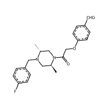 C[C@@H]1CN(C(=O)COc2ccc(C=O)cc2)[C@@H](C)CN1Cc1ccc(F)cc1